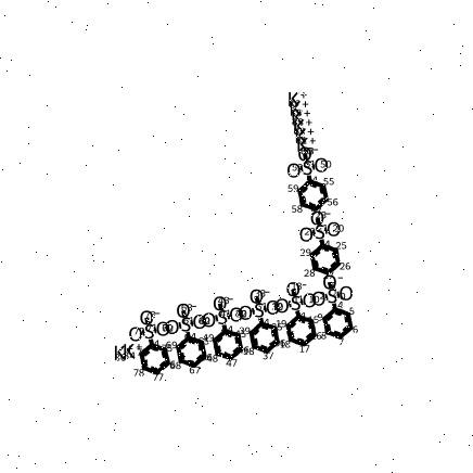 O=S(=O)([O-])c1ccccc1.O=S(=O)([O-])c1ccccc1.O=S(=O)([O-])c1ccccc1.O=S(=O)([O-])c1ccccc1.O=S(=O)([O-])c1ccccc1.O=S(=O)([O-])c1ccccc1.O=S(=O)([O-])c1ccccc1.O=S(=O)([O-])c1ccccc1.[K+].[K+].[K+].[K+].[K+].[K+].[K+].[K+]